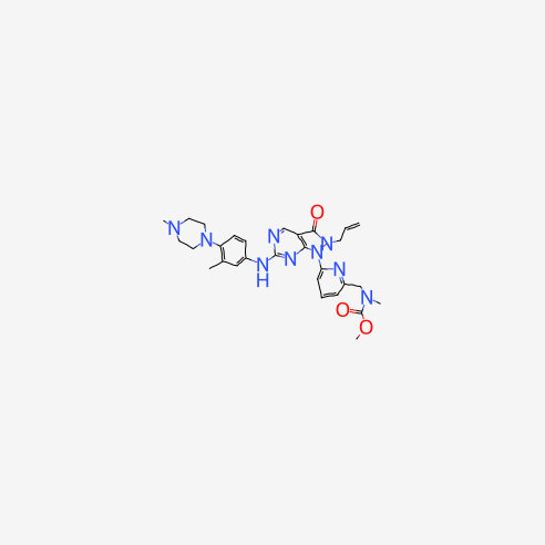 C=CCn1c(=O)c2cnc(Nc3ccc(N4CCN(C)CC4)c(C)c3)nc2n1-c1cccc(CN(C)C(=O)OC)n1